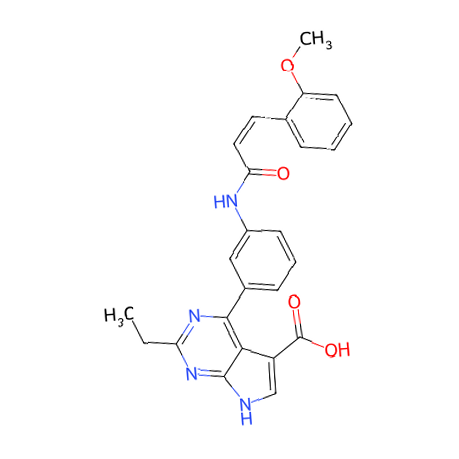 CCc1nc(-c2cccc(NC(=O)/C=C\c3ccccc3OC)c2)c2c(C(=O)O)c[nH]c2n1